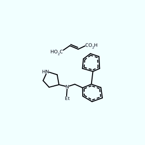 CCN(Cc1ccccc1-c1ccccc1)C1CCNC1.O=C(O)C=CC(=O)O